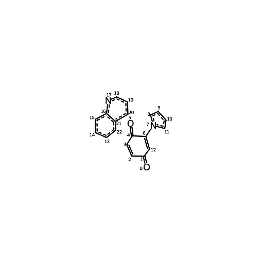 O=C1C=CC(=O)C(n2cccc2)=C1.c1ccc2ncccc2c1